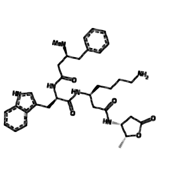 CN[C@H](CC(=O)N[C@H](Cc1c[nH]c2ccccc12)C(=O)N[C@@H](CCCCN)CC(=O)N[C@@H]1CC(=O)O[C@@H]1C)Cc1ccccc1